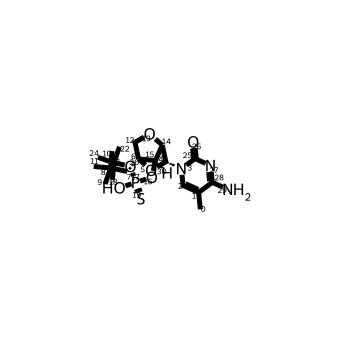 Cc1cn([C@@H]2O[C@@]3(CC(C)(C)C)COC2[C@H]3OP(O)(=S)OC(C)(C)C)c(=O)nc1N